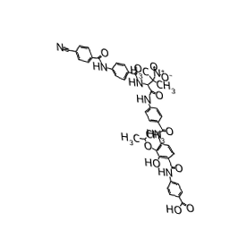 CC(C)Oc1c(NC(=O)c2ccc(NC(=O)C(NC(=O)c3ccc(NC(=O)c4ccc(C#N)cc4)cc3)C(C)(C)[N+](=O)[O-])cc2)ccc(C(=O)Nc2ccc(C(=O)O)cc2)c1O